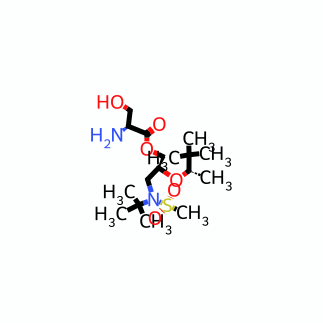 C[C@H](O[C@H](COC(=O)[C@@H](N)CO)CN(C(C)(C)C)S(C)(=O)=O)C(C)(C)C